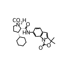 CC1(C)OC(=O)n2c1cc1ccc(NC(=O)[C@@H]3[C@H](C4CCCCC4)CCN3C(=O)O)cc12